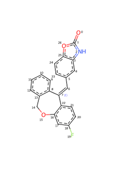 O=c1[nH]c2cc(/C=C3\c4ccccc4COc4cc(F)ccc43)ccc2o1